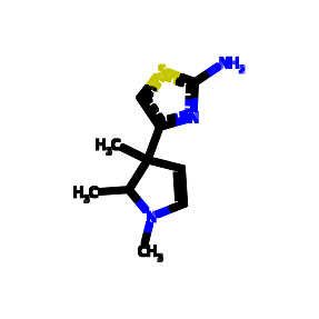 CC1N(C)C=CC1(C)c1csc(N)n1